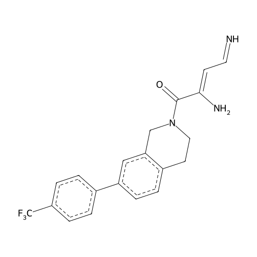 N=C/C=C(\N)C(=O)N1CCc2ccc(-c3ccc(C(F)(F)F)cc3)cc2C1